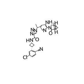 CC(c1cnc(N2C[C@H]3C[C@H]3C2=O)c(N)c1)n1cc(C(=O)N[C@H]2C[C@@H](c3cc(Cl)ccc3C#N)C2)nn1